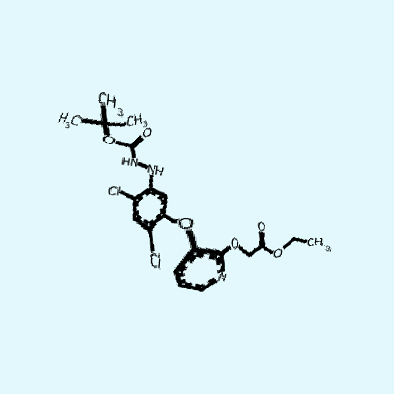 CCOC(=O)COc1ncccc1Oc1cc(NNC(=O)OC(C)(C)C)c(Cl)cc1Cl